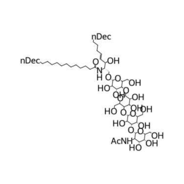 CCCCCCCCCCCCC/C=C/[C@@H](O)[C@H](CO[C@@H]1OC(CO)[C@@H](O[C@@H]2OC(CO)[C@H](O[C@@H]3OC(CO)[C@H](O)[C@H](O[C@@H]4OC(CO)[C@H](O)[C@H](O)C4NC(C)=O)C3O)[C@H](O)C2O)[C@H](O)C1O)NC(=O)CCCCCCCCCCCCCCCCCCCCC